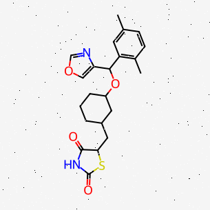 Cc1ccc(C)c(C(OC2CCCC(CC3SC(=O)NC3=O)C2)c2cocn2)c1